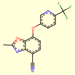 Cc1nc2c(C#N)ccc(Oc3ccc(C(F)(F)F)nc3)c2o1